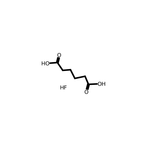 F.O=C(O)CCCCC(=O)O